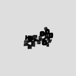 COC(=O)[C@H]1C(=O)CCO[C@@H]1/C=C/c1c[nH]c2ccccc12